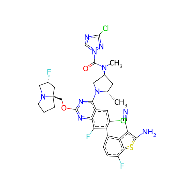 C[C@H]1C[C@H](N(C)C(=O)n2cnc(Cl)n2)CN1c1nc(OC[C@@]23CCCN2C[C@H](F)C3)nc2c(F)c(-c3ccc(F)c4sc(N)c(C#N)c34)c(Cl)cc12